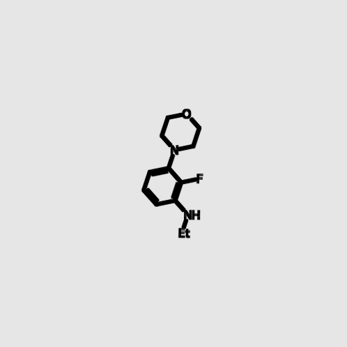 CCNc1cccc(N2CCOCC2)c1F